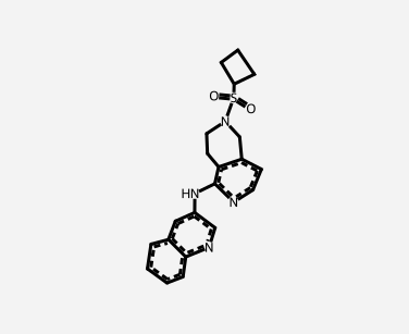 O=S(=O)(C1CCC1)N1CCc2c(ccnc2Nc2cnc3ccccc3c2)C1